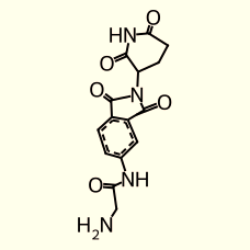 NCC(=O)Nc1ccc2c(c1)C(=O)N(C1CCC(=O)NC1=O)C2=O